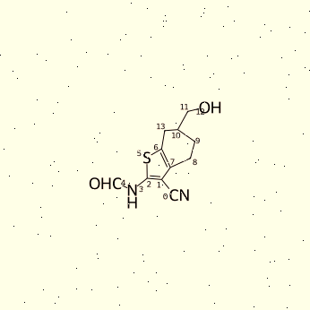 N#Cc1c(NC=O)sc2c1CCC(CO)C2